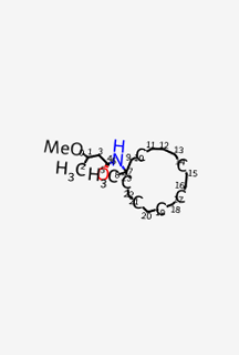 COC(C)CC(=O)NC1(C)CCCCCCCCCCCCCCC1